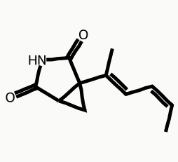 C/C=C\C=C(/C)C12CC1C(=O)NC2=O